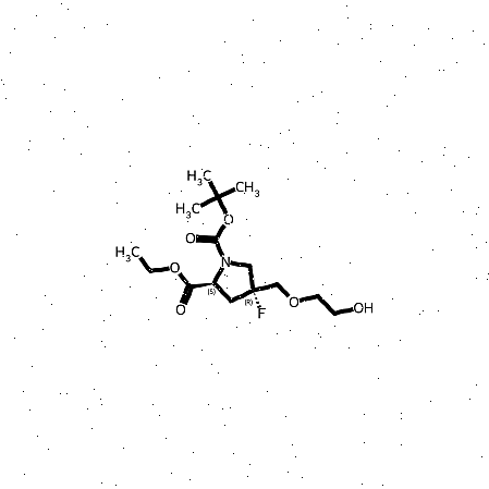 CCOC(=O)[C@@H]1C[C@](F)(COCCO)CN1C(=O)OC(C)(C)C